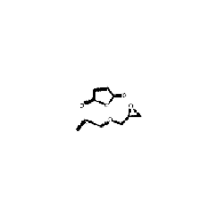 C=CCOCC1CO1.O=C1C=CC(=O)O1